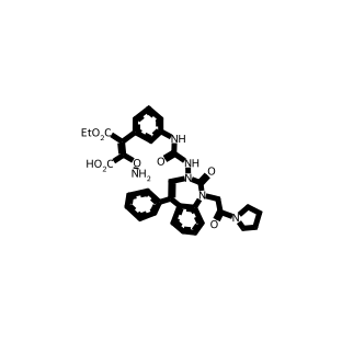 CCOC(=O)C(=C(ON)C(=O)O)c1cccc(NC(=O)NN2C=C(c3ccccc3)c3ccccc3N(CC(=O)N3CCCC3)C2=O)c1